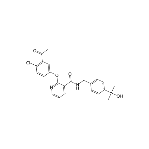 CC(=O)c1cc(Oc2ncccc2C(=O)NCc2ccc(C(C)(C)O)cc2)ccc1Cl